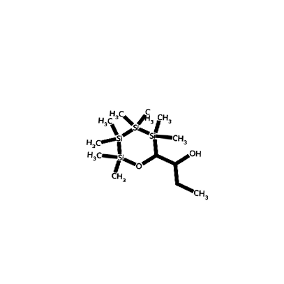 CCC(O)C1O[Si](C)(C)[Si](C)(C)[Si](C)(C)[Si]1(C)C